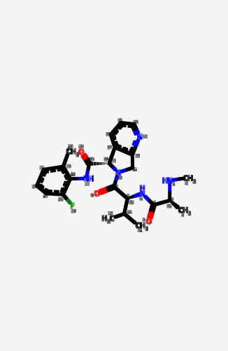 CN[C@@H](C)C(=O)N[C@H](C(=O)N1Cc2ncccc2[C@H]1C(=O)Nc1c(C)cccc1F)C(C)C